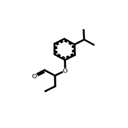 CCC(C=O)Oc1cccc(C(C)C)c1